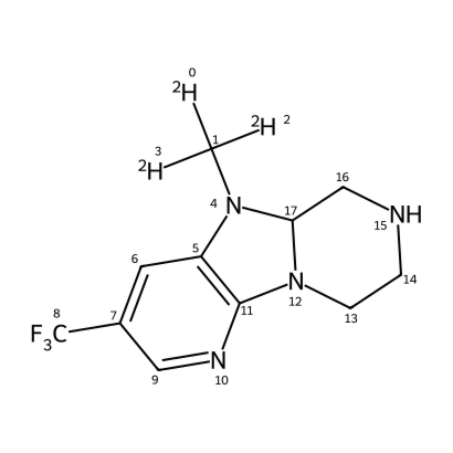 [2H]C([2H])([2H])N1c2cc(C(F)(F)F)cnc2N2CCNCC21